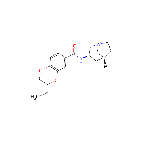 CC[C@@H]1COc2ccc(C(=O)N[C@@H]3C[C@H]4CCN(C4)C3)cc2O1